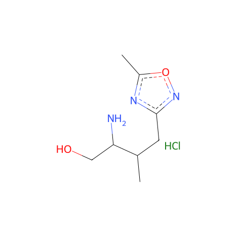 Cc1nc(CC(C)C(N)CO)no1.Cl